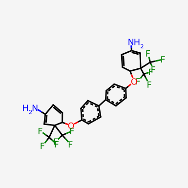 NC1=CC(C(F)(F)F)(C(F)(F)F)C(Oc2ccc(-c3ccc(OC4C=CC(N)=CC4(C(F)(F)F)C(F)(F)F)cc3)cc2)C=C1